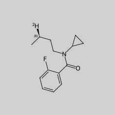 [2H][C@H](C)CCN(C(=O)c1ccccc1F)C1CC1